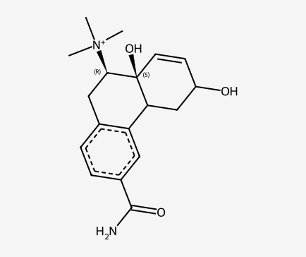 C[N+](C)(C)[C@@H]1Cc2ccc(C(N)=O)cc2C2CC(O)C=C[C@]21O